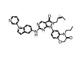 C/C=C\Cn1c(=O)c2cnc(Nc3ccc4c(ccn4-c4cccnc4)c3)nc2n1-c1ccc2c(c1)N(CCC)C(=O)CO2